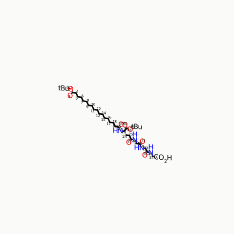 CC(C)(C)OC(=O)CCCCCCCCCCCCCCCCC(=O)N[C@@H](CCC(=O)NCC(=O)NCC(=O)NCC(=O)O)C(=O)OC(C)(C)C